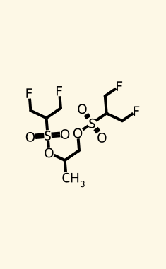 CC(COS(=O)(=O)C(CF)CF)OS(=O)(=O)C(CF)CF